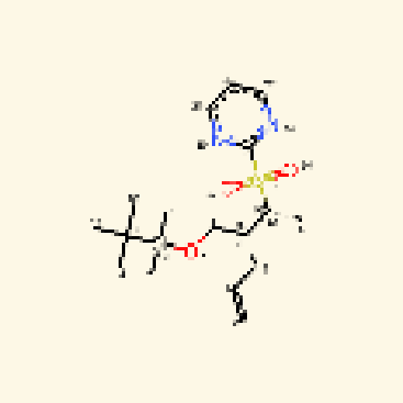 C=CC[C@H](CO[Si](C)(C)C(C)(C)C)[C@@H](C)S(=O)(=O)c1ncccn1